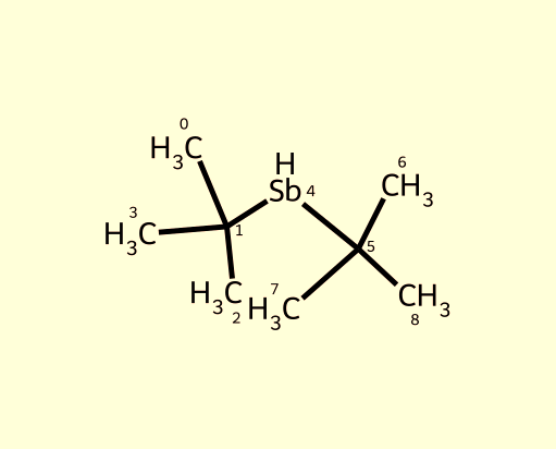 C[C](C)(C)[SbH][C](C)(C)C